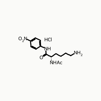 CC(=O)N[C@@H](CCCCN)C(=O)Nc1ccc([N+](=O)[O-])cc1.Cl